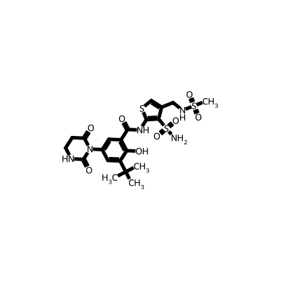 CC(C)(C)c1cc(N2C(=O)CCNC2=O)cc(C(=O)Nc2scc(CNS(C)(=O)=O)c2S(N)(=O)=O)c1O